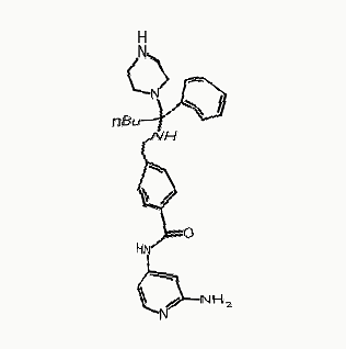 CCCCC(NCc1ccc(C(=O)Nc2ccnc(N)c2)cc1)(c1ccccc1)N1CCNCC1